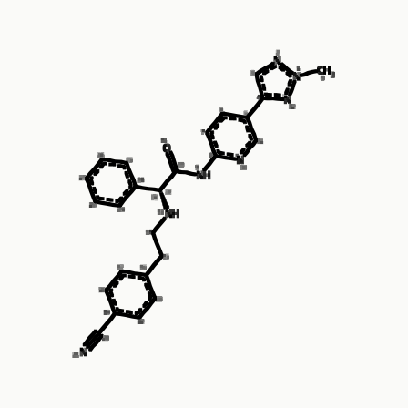 Cn1ncc(-c2ccc(NC(=O)[C@@H](NCCc3ccc(C#N)cc3)c3ccccc3)nc2)n1